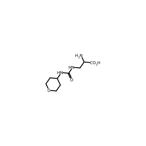 NC(CNC(=O)NC1CCOCC1)C(=O)O